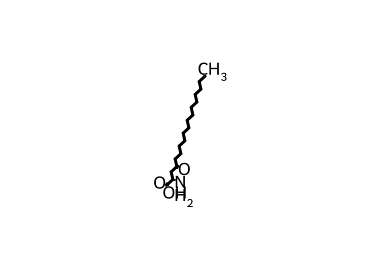 CCCCCCCCCCCCCCCC(=O)C[C@@H](N)C(=O)O